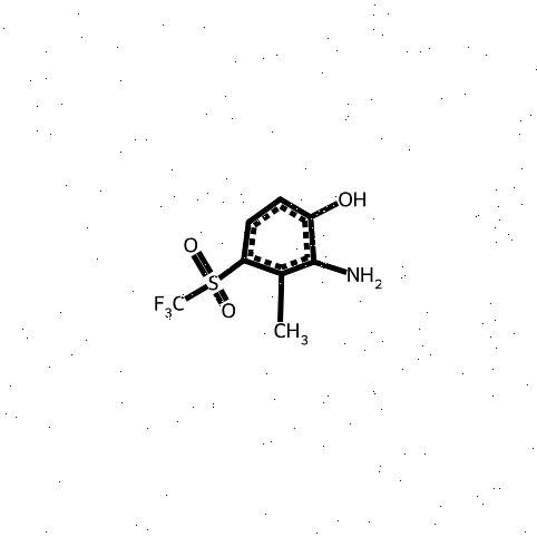 Cc1c(S(=O)(=O)C(F)(F)F)ccc(O)c1N